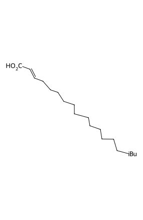 CCC(C)CCCCCCCCCCCCC=CC(=O)O